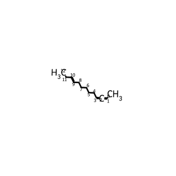 CC=C=CCCCCCC=CCC